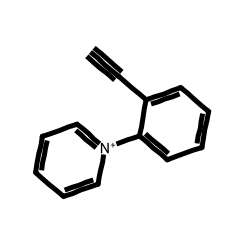 C#Cc1ccccc1-[n+]1ccccc1